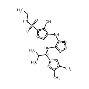 CCNS(=O)(=O)c1scc(Nc2nsnc2N[C@@H](c2cc(C)c(C)s2)C(C)C)c1O